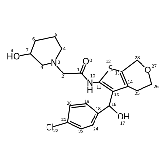 O=C(CN1CCCC(O)C1)Nc1sc2c(c1C(O)c1ccc(Cl)cc1)CCOC2